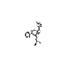 C#C/C(C=C)=C/C=C1\CC(c2ccccn2)=NCc2c(-c3nc(C)no3)ncn21